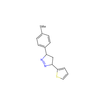 CSc1ccc(C2CC(c3cccs3)N=N2)cc1